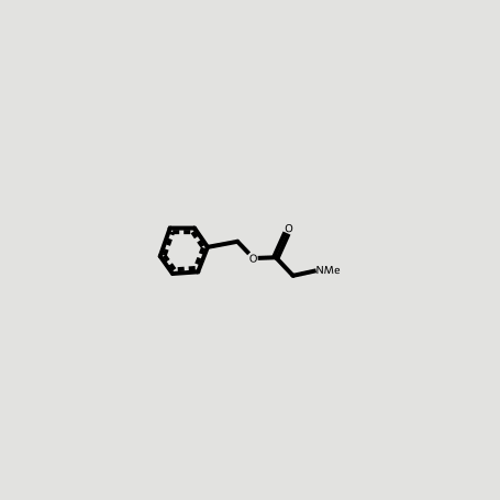 [CH2]NCC(=O)OCc1ccccc1